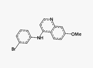 COc1ccc2c(Nc3cccc(Br)c3)ccnc2c1